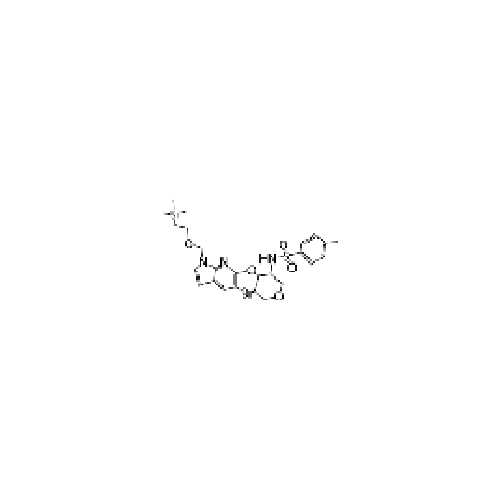 Cc1ccc(S(=O)(=O)N[C@H]2COCC[C@@H]2Oc2nc3c(ccn3COCC[Si](C)(C)C)cc2Br)cc1